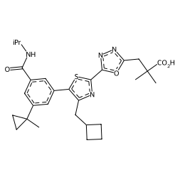 CC(C)NC(=O)c1cc(-c2sc(-c3nnc(CC(C)(C)C(=O)O)o3)nc2CC2CCC2)cc(C2(C)CC2)c1